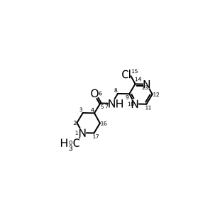 CN1CCC(C(=O)NCc2nccnc2Cl)CC1